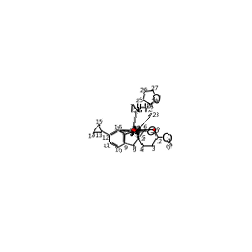 COC1CCC2(CC1)Cc1ccc(C3CC3)cc1[C@]21N=C(N)N(C[C@@H]2CCCO2)C1=O